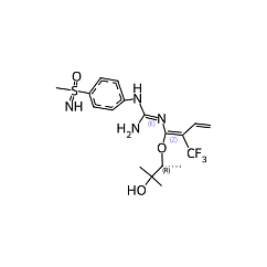 C=C/C(=C(\N=C(/N)Nc1ccc(S(C)(=N)=O)cc1)O[C@H](C)C(C)(C)O)C(F)(F)F